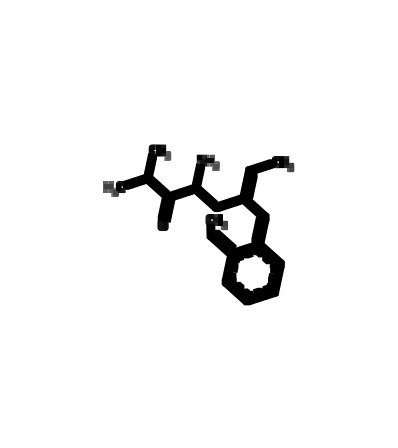 C\C=C(/C=c1/cccc/c1=C/C)CC(N)C(=O)C(C)C